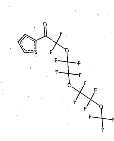 O=C(c1cccs1)C(F)(F)OC(F)(F)C(F)(F)OC(F)(F)C(F)(F)OC(F)(F)F